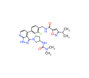 CC(C)c1cc(C(=O)NCc2ccc(-c3ccnc4[nH]nc(N5CC[C@@H](NC(=O)N(C)C)C5)c34)cc2F)on1